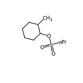 CCCS(=O)(=O)OC1CCCCC1C